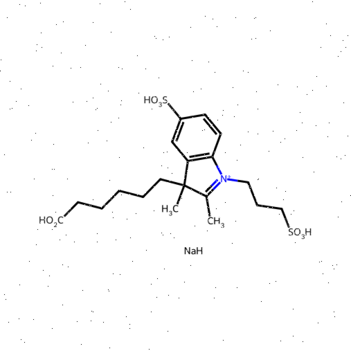 CC1=[N+](CCCS(=O)(=O)O)c2ccc(S(=O)(=O)O)cc2C1(C)CCCCCC(=O)O.[NaH]